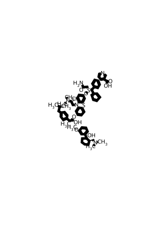 CC(C)Cc1ccc(C(C)C(=O)O)cc1.CC(CN1c2ccccc2Sc2ccccc21)N(C)C.COc1cccc([C@@]2(O)CCCC[C@@H]2CN(C)C)c1.NC(=O)C[S+]([O-])C(c1ccccc1)c1ccccc1.O=C(O)c1cccnc1